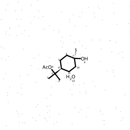 CC(=O)OC(C)(C)[C@H]1CC[C@@](C)(O)CC1.O